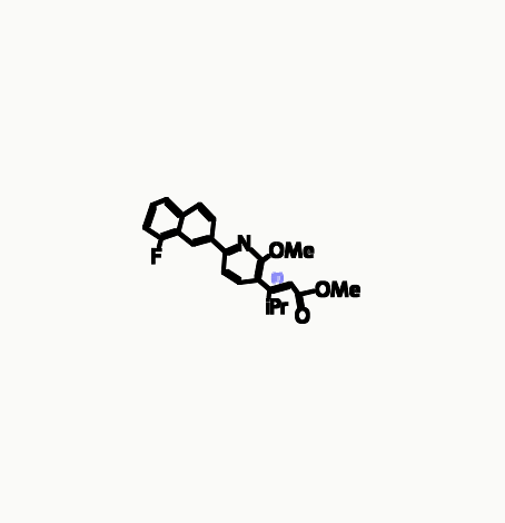 COC(=O)/C=C(/c1ccc(-c2ccc3cccc(F)c3c2)nc1OC)C(C)C